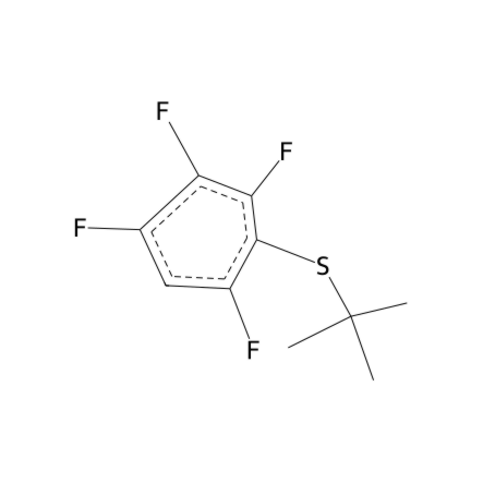 CC(C)(C)Sc1c(F)cc(F)c(F)c1F